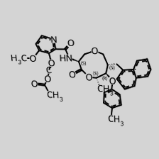 COc1ccnc(C(=O)N[C@H]2COC[C@H](Cc3cccc4ccccc34)[C@@H](Oc3ccc(C)cc3)[C@H](C)OC2=O)c1OCOC(C)=O